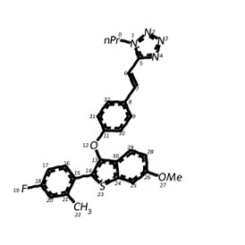 CCCn1nnnc1C=Cc1ccc(Oc2c(-c3ccc(F)cc3C)sc3cc(OC)ccc23)cc1